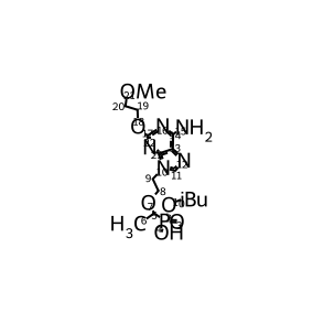 CCC(C)OP(=O)(O)C(C)OCCn1cnc2c(N)nc(OCCOC)nc21